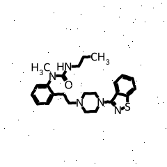 CCCNC(=O)N(C)c1ccccc1CCN1CCN(c2nsc3ccccc23)CC1